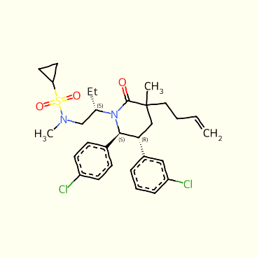 C=CCCC1(C)C[C@H](c2cccc(Cl)c2)[C@@H](c2ccc(Cl)cc2)N([C@@H](CC)CN(C)S(=O)(=O)C2CC2)C1=O